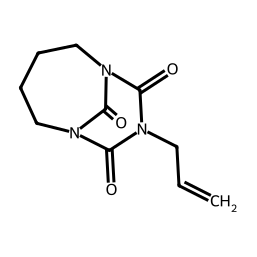 C=CCn1c(=O)n2c(=O)n(c1=O)CCCC2